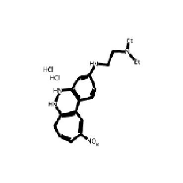 CCN(CC)CCNc1ccc2c(c1)NNC1=C2C=C([N+](=O)[O-])C=CC1.Cl.Cl